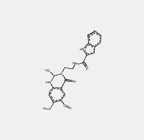 COc1cc2c(cc1OC)C(=N)N(CCNC(=O)c1cc3ccccc3[nH]1)C(S)N2